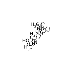 CCn1nc(-c2ccc(OCc3ccccc3-n3nnn(C)c3=O)c(C)c2)c(C)c1C(=O)O